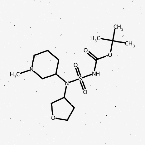 CN1CCCC(N(C2CCOC2)S(=O)(=O)NC(=O)OC(C)(C)C)C1